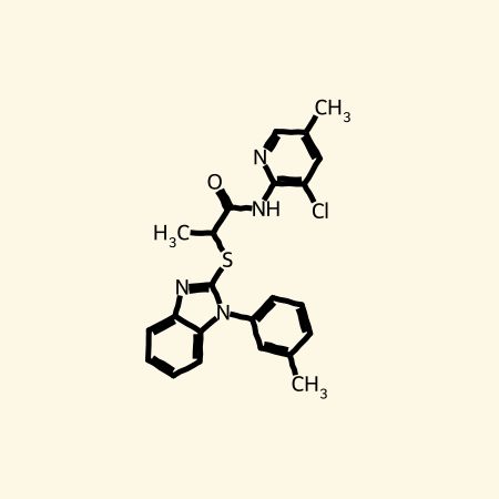 Cc1cccc(-n2c(SC(C)C(=O)Nc3ncc(C)cc3Cl)nc3ccccc32)c1